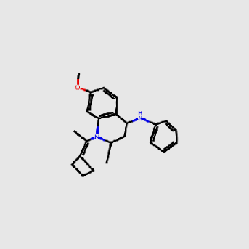 COc1ccc2c(c1)N(C(C)=C1CCC1)C(C)CC2Nc1ccccc1